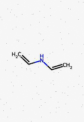 C=CNC=C